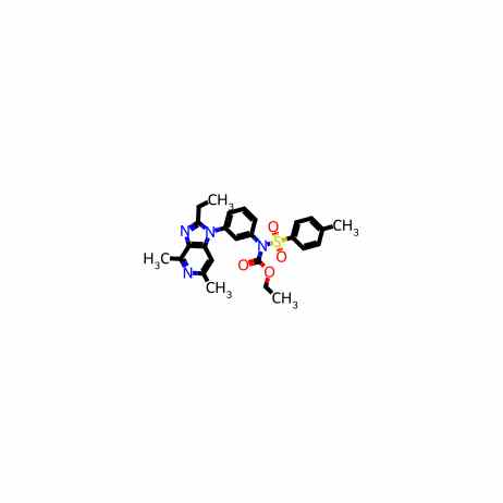 CCOC(=O)N(c1cccc(-n2c(CC)nc3c(C)nc(C)cc32)c1)S(=O)(=O)c1ccc(C)cc1